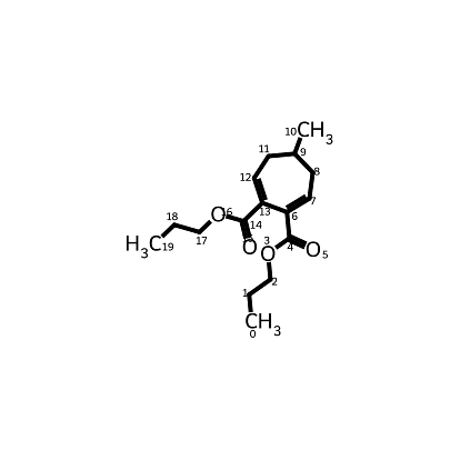 CCCOC(=O)C1=CCC(C)CC=C1C(=O)OCCC